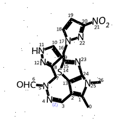 Cc1c(/C=N\N(C=O)Cc2cc[nH]n2)c2sc(Cn3ccc([N+](=O)[O-])n3)nc2n1C